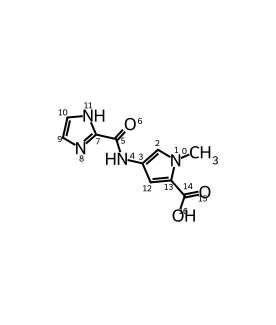 Cn1cc(NC(=O)c2ncc[nH]2)cc1C(=O)O